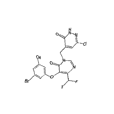 N#Cc1cc(Br)cc(Oc2c(C(F)F)ncn(Cc3cc(Cl)n[nH]c3=O)c2=O)c1